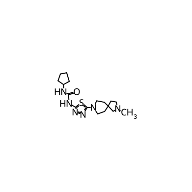 CN1CCC2(CCN(c3nnc(NC(=O)NC4CCCC4)s3)CC2)C1